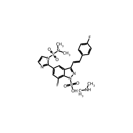 CN(C)S(=O)(=O)n1ccnc1-c1cc(F)c2c(c1)c(C=Cc1ccc(F)cc1)nn2S(=O)(=O)O.CNC